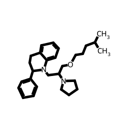 CC(C)CCCOCC(CN1c2ccccc2CCC1c1ccccc1)N1CCCC1